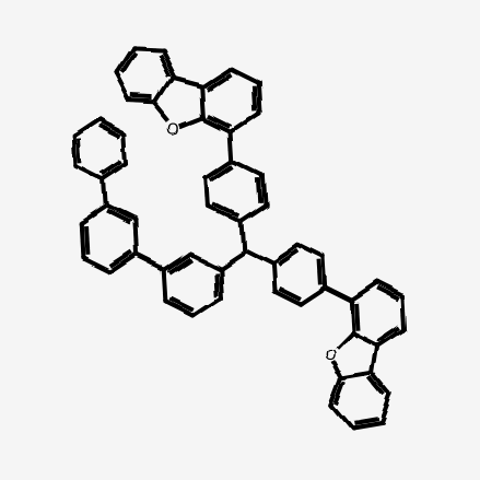 c1ccc(-c2cccc(-c3cccc(C(c4ccc(-c5cccc6c5oc5ccccc56)cc4)c4ccc(-c5cccc6c5oc5ccccc56)cc4)c3)c2)cc1